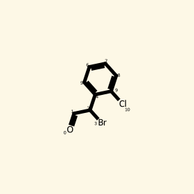 O=CC(Br)c1ccccc1Cl